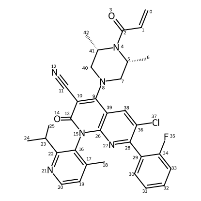 C=CC(=O)N1[C@H](C)CN(c2c(C#N)c(=O)n(-c3c(C)ccnc3C(C)C)c3nc(-c4ccccc4F)c(Cl)cc23)C[C@@H]1C